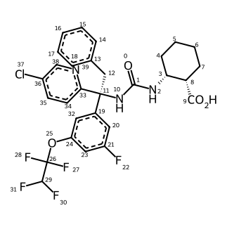 O=C(N[C@@H]1CCCC[C@@H]1C(=O)O)N[C@@](Cc1ccccc1)(c1cc(F)cc(OC(F)(F)C(F)F)c1)c1ccc(Cl)cn1